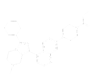 CC(=O)N1CCn2c(C3CCOCC3)nc(-c3ccnc4cc(N5CCN(C(=O)OC(C)(C)C)CC5)ccc34)c2C1